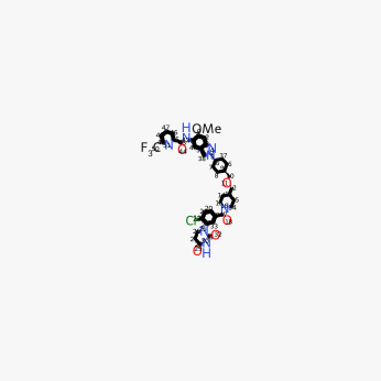 COc1cc2nn([C@H]3CC[C@H](COCC4CCN(C(=O)c5ccc(Cl)c(N6CCC(=O)NC6=O)c5)CC4)CC3)cc2cc1NC(=O)c1cccc(C(F)(F)F)n1